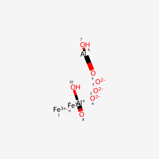 [Fe+3].[Fe+3].[O-2].[O-2].[O-2].[O]=[Al][OH].[O]=[Al][OH]